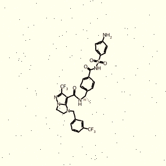 C[C@H](NC(=O)c1c(C(F)(F)F)nn2c1N(Cc1cccc(C(F)(F)F)c1)CC2)c1ccc(C(=O)NS(=O)(=O)c2ccc(N)cc2)cc1